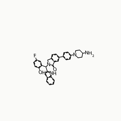 NC1CCN(c2ccc(-c3ccc4c(c3)C(=O)N(C(c3cc5ccccc5[nH]3)c3cc(F)ccc3O)C4)cc2)CC1